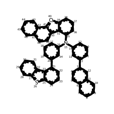 c1cc(-c2ccc3ccccc3c2)cc(N(c2cccc(-c3cccc4sc5ccccc5c34)c2)c2cccc3oc4c5ccccc5ccc4c23)c1